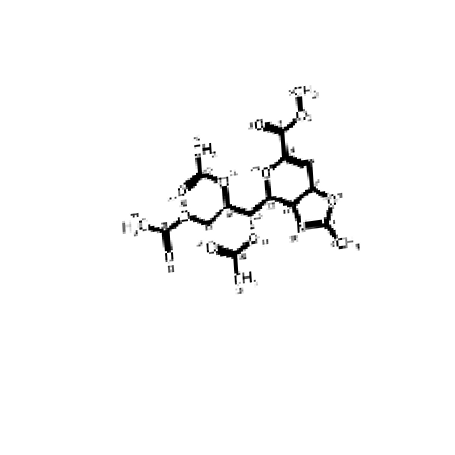 COC(=O)C1=CC2OC(C)=NC2C([C@H](OC(C)=O)[C@@H](COC(C)=O)OC(C)=O)O1